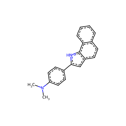 CN(C)c1ccc(-c2cc3ccc4ccccc4c3[nH]2)cc1